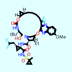 CC[C@@H]1[C@@H]2C[N@](C(O)[C@H](C(C)(C)C)NC(=O)O[C@@H]3C[C@H]3CCCCC(F)(F)c3nc4ccc(OC)cc4nc3O2)[C@@H]1C(=O)N[C@]1(C(=O)NS(=O)(=O)C2(C)CC2)C[C@H]1CC(F)F